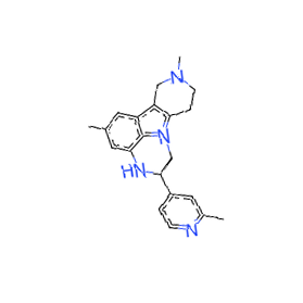 Cc1cc2c3c(c1)c1c(n3CC(c3ccnc(C)c3)N2)CCN(C)C1